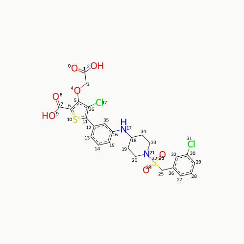 O=C(O)COc1c(C(=O)O)sc(-c2cccc(NC3CCN(S(=O)(=O)Cc4cccc(Cl)c4)CC3)c2)c1Cl